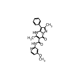 COc1ccnc(NC(=O)c2c(C)[nH]c3c(-c4ccccc4)c(C)nn3c2=O)c1